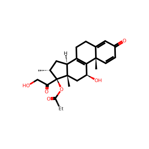 CCC(=O)O[C@@]1(C(=O)CO)[C@H](C)C[C@H]2C3=C([C@@H](O)C[C@@]21C)[C@@]1(C)C=CC(=O)C=C1CC3